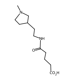 CN1CCC(CCNC(=O)CCCC(=O)O)C1